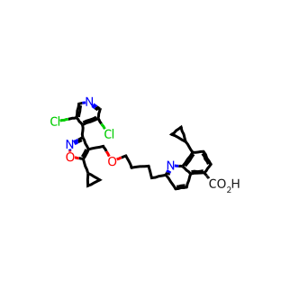 O=C(O)c1ccc(C2CC2)c2nc(CCCCOCc3c(-c4c(Cl)cncc4Cl)noc3C3CC3)ccc12